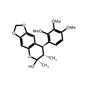 COc1ccc([C@@H]2c3cc4c(cc3O[C@](C)(O)[C@H]2C)OCO4)c(OC)c1OC